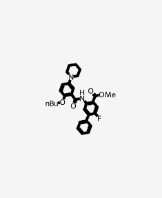 CCCCOc1ccc(N2CCCCC2)cc1C(=O)Nc1cc(-c2ccccc2)c(F)cc1C(=O)OC